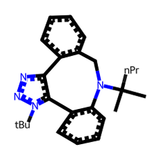 CCCC(C)(C)N1Cc2ccccc2-c2nnn(C(C)(C)C)c2-c2ccccc21